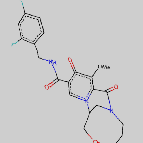 COc1c2n(cc(C(=O)NCc3ccc(F)cc3F)c1=O)C1COCCCN(C1)C2=O